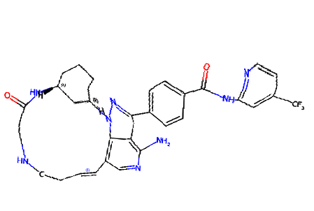 Nc1ncc2c3c1c(-c1ccc(C(=O)Nc4cc(C(F)(F)F)ccn4)cc1)nn3[C@@H]1CCC[C@H](C1)NC(=O)CNCC/C=C/2